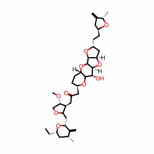 C=C1C[C@H](CC[C@@H]2C[C@H]3O[C@@H]4C(O[C@H]5CC[C@H](CC(=O)C[C@H]6C(C[C@H]7O[C@@H](CC)C[C@@H](C)C7=C)OC[C@@H]6OC)OC5[C@@H]4O)C3O2)O[C@H]1C